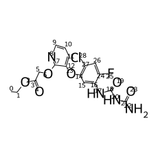 CCOC(=O)COc1ncccc1Oc1cc(NC(=O)NC(N)=O)c(F)cc1Cl